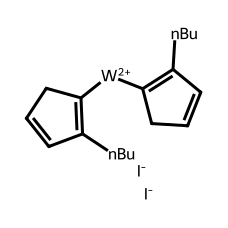 CCCCC1=[C]([W+2][C]2=C(CCCC)C=CC2)CC=C1.[I-].[I-]